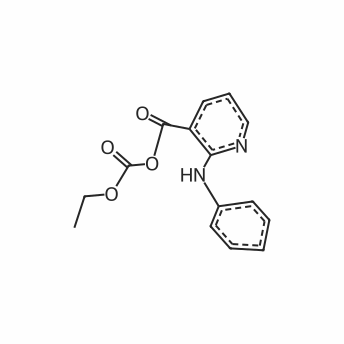 CCOC(=O)OC(=O)c1cccnc1Nc1ccccc1